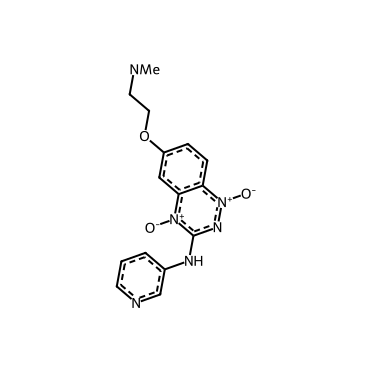 CNCCOc1ccc2c(c1)[n+]([O-])c(Nc1cccnc1)n[n+]2[O-]